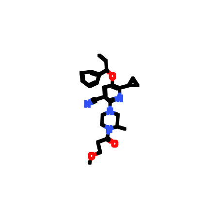 CCC(Oc1cc(C#N)c(N2CCN(C(=O)CCOC)C(C)C2)nc1C1CC1)c1ccccc1